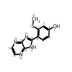 CSc1cc(O)ccc1-c1nc2nccnc2[nH]1